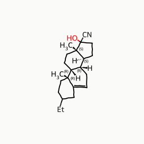 CCC1CC[C@@]2(C)C(=CC[C@@H]3[C@H]2CC[C@@]2(C)[C@H]3CCC2(O)C#N)C1